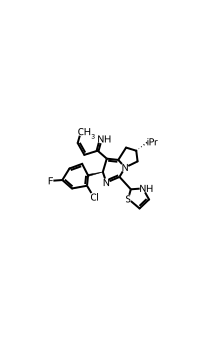 C/C=C\C(=N)C1=C2C[C@H](C(C)C)CN2C(C2NC=CS2)=N[C@H]1c1ccc(F)cc1Cl